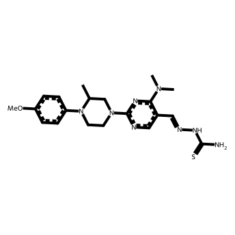 COc1ccc(N2CCN(c3ncc(/C=N/NC(N)=S)c(N(C)C)n3)CC2C)cc1